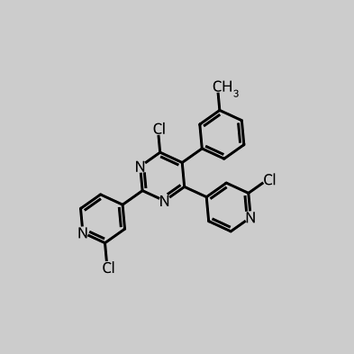 Cc1cccc(-c2c(Cl)nc(-c3ccnc(Cl)c3)nc2-c2ccnc(Cl)c2)c1